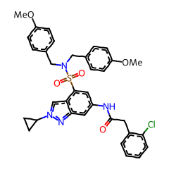 COc1ccc(CN(Cc2ccc(OC)cc2)S(=O)(=O)c2cc(NC(=O)Cc3ccccc3Cl)cc3nn(C4CC4)cc23)cc1